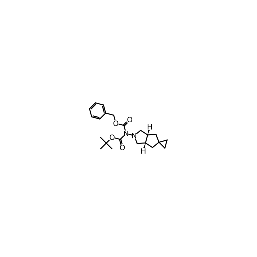 CC(C)(C)OC(=O)N(C(=O)OCc1ccccc1)N1C[C@@H]2CC3(CC3)C[C@@H]2C1